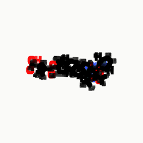 Cc1nnc(C(C)C)n1[C@@H]1C[C@H]2CC[C@@H](C1)N2C(=O)N[C@@]12CC[C@]3(C)[C@H](CC[C@@H]4[C@@]5(C)CC[C@H](OC(=O)[C@H]6C[C@@H](C(=O)O)C6(C)C)C(C)(C)[C@@H]5CC[C@]43C)C1=C(C(C)C)C(=O)C2